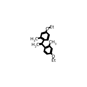 C=C(c1ccc(OCC)cc1C)c1ccc(OCC)cc1C